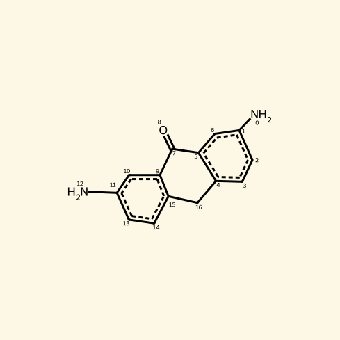 Nc1ccc2c(c1)C(=O)c1cc(N)ccc1C2